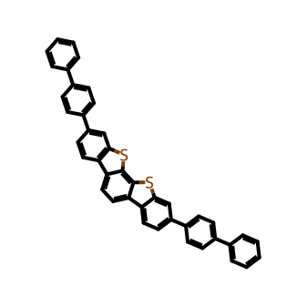 c1ccc(-c2ccc(-c3ccc4c(c3)sc3c4ccc4c5ccc(-c6ccc(-c7ccccc7)cc6)cc5sc43)cc2)cc1